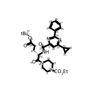 CCOC(=O)N1CCN(C(=O)[C@H](CCC(=O)OC(C)(C)C)NC(=O)c2cc(C3CC3)nc(-c3ccccc3)n2)CC1